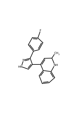 CC1C=C(c2c[nH]nc2-c2ccc(F)cc2)c2ccccc2N1